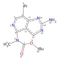 CC(C)c1cnc(N(C)C(=O)OC(C)(C)C)c2cnc(N)nc12